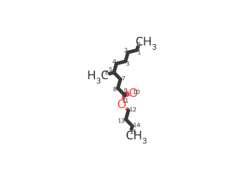 CCCCCC(C)CCC(=O)OCCCC